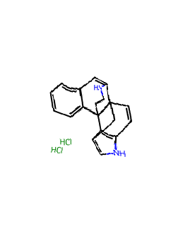 C1=CC23Cc4c[nH]c1c4C21CCNC3=Cc2ccccc21.Cl.Cl